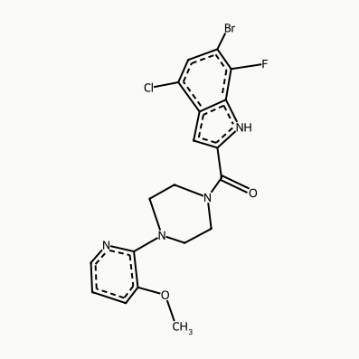 COc1cccnc1N1CCN(C(=O)c2cc3c(Cl)cc(Br)c(F)c3[nH]2)CC1